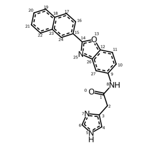 O=C(Cc1c[nH]cn1)Nc1ccc2oc(-c3ccc4ccccc4c3)nc2c1